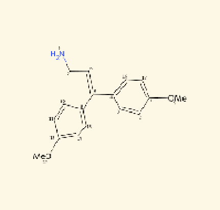 COc1ccc(C(=CCN)c2ccc(OC)cc2)cc1